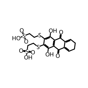 O=C1C2=CCCC=C2C(=O)c2c(O)c(SCCS(=O)(=O)O)c(SCCS(=O)(=O)O)c(O)c21